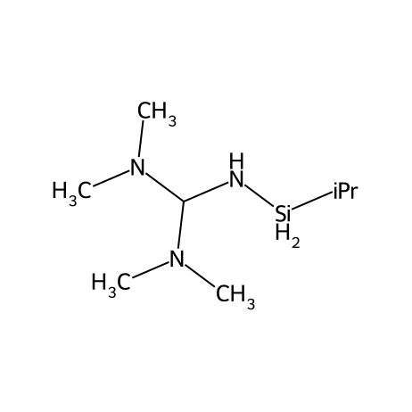 CC(C)[SiH2]NC(N(C)C)N(C)C